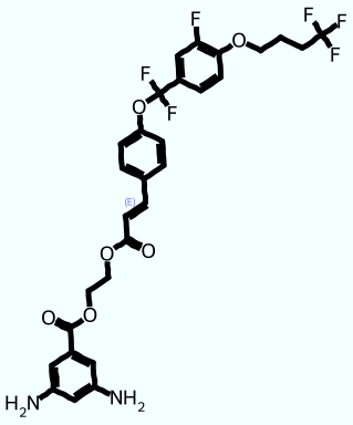 Nc1cc(N)cc(C(=O)OCCOC(=O)/C=C/c2ccc(OC(F)(F)c3ccc(OCCCC(F)(F)F)c(F)c3)cc2)c1